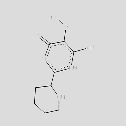 COc1c(C)[nH]c(C2CCCCN2)nc1=O